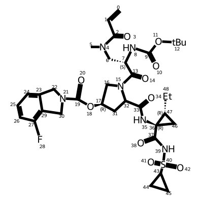 C=CC(=O)N(C)C[C@H](NC(=O)OC(C)(C)C)C(=O)N1C[C@H](OC(=O)N2Cc3cccc(F)c3C2)CC1C(=O)N[C@]1(C(=O)NS(=O)(=O)C2CC2)C[C@H]1CC